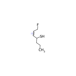 CCCC(S)/C=C\CF